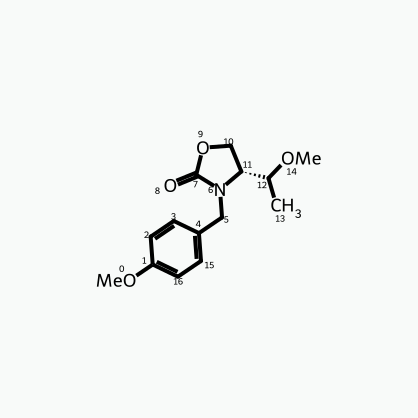 COc1ccc(CN2C(=O)OC[C@@H]2C(C)OC)cc1